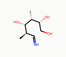 C[C@@H]([C@@H](O)[C@H](C)C=N)[C@H](O)CO